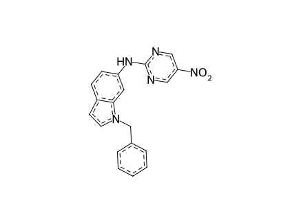 O=[N+]([O-])c1cnc(Nc2ccc3ccn(Cc4ccccc4)c3c2)nc1